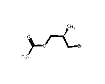 CC(=O)OC[C@@H](C)CBr